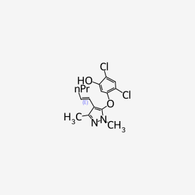 CCC/C=C/c1c(C)nn(C)c1Oc1cc(O)c(Cl)cc1Cl